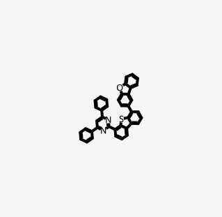 c1ccc(-c2cc(-c3ccccc3)nc(-c3cccc4c3sc3c(-c5ccc6oc7ccccc7c6c5)cccc34)n2)cc1